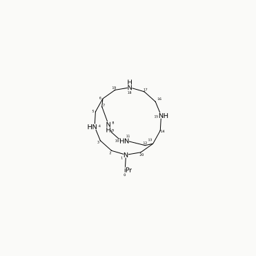 CC(C)N1CCNCC2CNCCNCC(CNCCNC2)C1